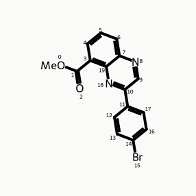 COC(=O)c1cccc2ncc(-c3ccc(Br)cc3)nc12